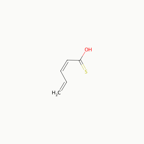 C=C/C=C\C(O)=S